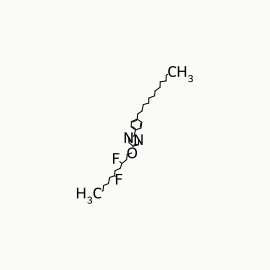 CCCCCCCCCCCCc1ccc(-c2ncc(OCCC(F)CCC(F)CCCCC)cn2)cc1